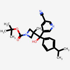 CC(C)c1ccc(C(O)(c2cncc(C#N)c2)C2(C)CN(C(=O)OC(C)(C)C)C2)cc1